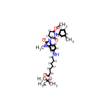 COc1ccc(C)cc1N1C(=O)CCC(n2c(=O)n(C)c3cc(NCCCCCCC(=O)OC(C)(C)C)ccc32)C1=O